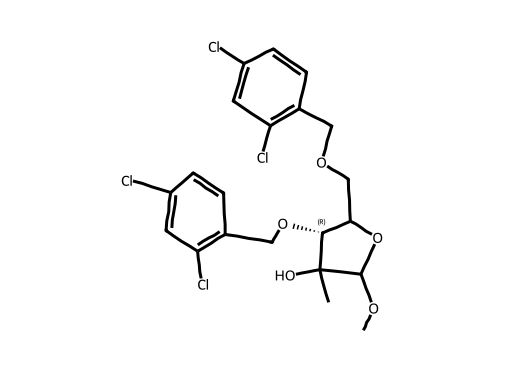 COC1OC(COCc2ccc(Cl)cc2Cl)[C@@H](OCc2ccc(Cl)cc2Cl)C1(C)O